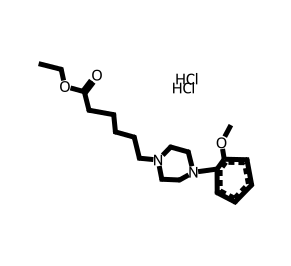 CCOC(=O)CCCCCN1CCN(c2ccccc2OC)CC1.Cl.Cl